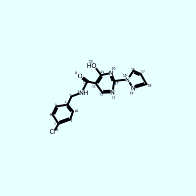 O=C(NCc1ccc(Cl)cc1)c1cnc(-n2cccn2)nc1O